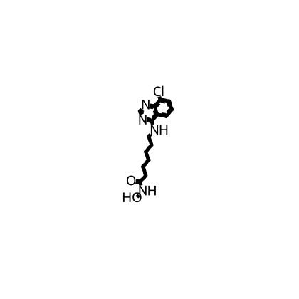 O=C(CCCCCCNc1ncnc2c(Cl)cccc12)NO